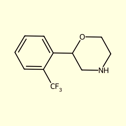 FC(F)(F)c1ccccc1C1CNCCO1